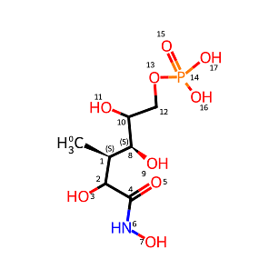 C[C@H](C(O)C(=O)NO)[C@H](O)C(O)COP(=O)(O)O